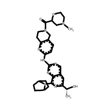 C[C@@H](O)c1cc2cnc(Nc3ccc4c(n3)CCN(C(=O)C3CN(C)CCO3)C4)nc2c(N2C3CCC2CC3)n1